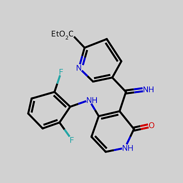 CCOC(=O)c1ccc(C(=N)c2c(Nc3c(F)cccc3F)cc[nH]c2=O)cn1